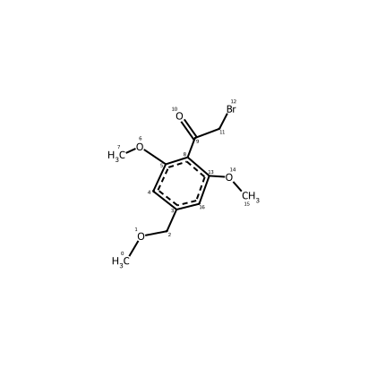 COCc1cc(OC)c(C(=O)CBr)c(OC)c1